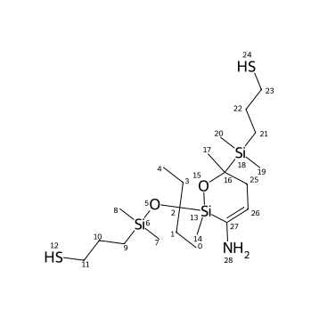 CCC(CC)(O[Si](C)(C)CCCS)[Si]1(C)OC(C)([Si](C)(C)CCCS)CC=C1N